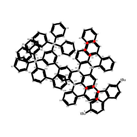 CC(C)(C)c1ccc2c3ccc(C(C)(C)C)cc3n(-c3cc4c5c(c3)N(c3ccccc3-c3ccccc3)c3cc(-c6ccccc6)ccc3B5c3cc(-c5cc([Si](c6ccccc6)(c6ccccc6)c6cccc(-c7ccccc7)c6)cc([Si](c6ccccc6)(c6ccccc6)c6cccc(-c7ccccc7)c6)c5)ccc3N4c3ccccc3-c3ccccc3)c2c1